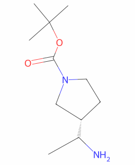 CC(N)[C@H]1CCN(C(=O)OC(C)(C)C)C1